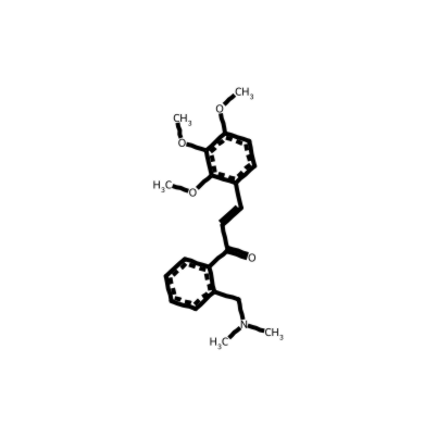 COc1ccc(/C=C/C(=O)c2ccccc2CN(C)C)c(OC)c1OC